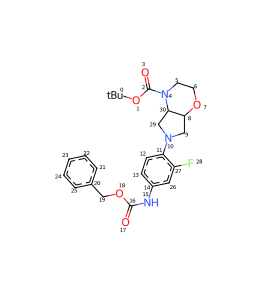 CC(C)(C)OC(=O)N1CCOC2CN(c3ccc(NC(=O)OCc4ccccc4)cc3F)CC21